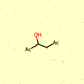 CC(=O)[CH]C(O)C(C)=O